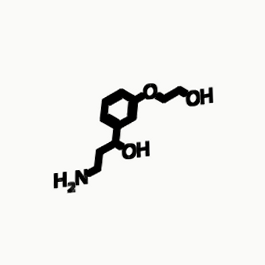 NCCC(O)c1cccc(OCCO)c1